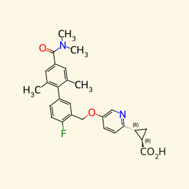 Cc1cc(C(=O)N(C)C)cc(C)c1-c1ccc(F)c(COc2ccc([C@@H]3C[C@H]3C(=O)O)nc2)c1